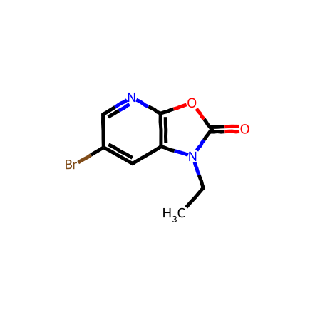 CCn1c(=O)oc2ncc(Br)cc21